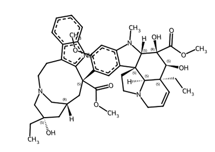 CC[C@]1(O)C[C@@H]2CN(CCc3c([nH]c4ccccc34)[C@@](C(=O)OC)(c3cc4c(cc3OC)N(C)[C@@H]3[C@](O)(C(=O)OC)[C@@H](O)[C@@]5(CC)C=CCN6CC[C@@]43[C@H]65)C2)C1